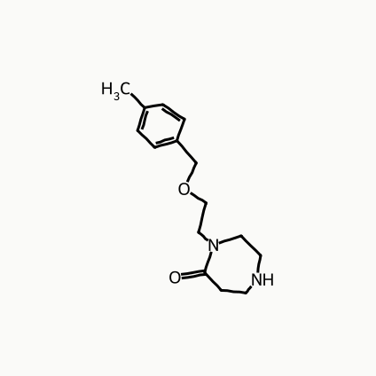 Cc1ccc(COCCN2CCNCCC2=O)cc1